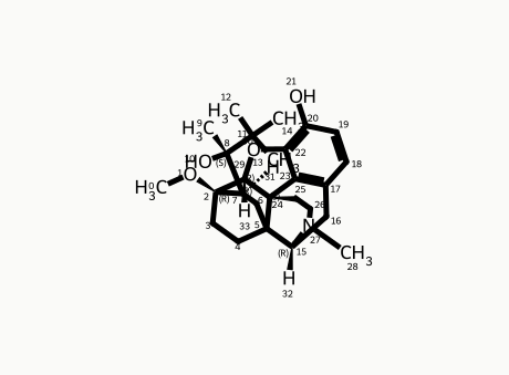 CO[C@]12CCC3(C[C@@H]1[C@](C)(O)C(C)(C)C)[C@H]1Cc4ccc(O)c5c4[C@@]3(CCN1C)[C@H]2O5